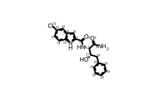 NC(=O)[C@@H](NC(=O)c1cc2cc(Cl)ccc2[nH]1)[C@@H](O)Cc1ccccc1